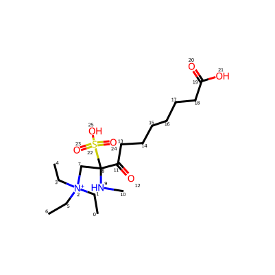 CC[N+](CC)(CC)CC(NC)(C(=O)CCCCCCC(=O)O)S(=O)(=O)O